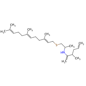 C=CCC(C)C(=C)NC(C)CSC/C=C(\C)CC/C=C(\C)CCC=C(C)C